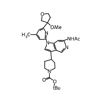 COC1(c2cc(C)cc(-n3cc(C4CCN(C(=O)OC(C)(C)C)CC4)c4cnc(NC(C)=O)cc43)n2)CCOC1